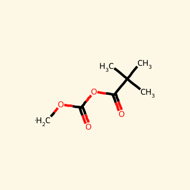 [CH2]OC(=O)OC(=O)C(C)(C)C